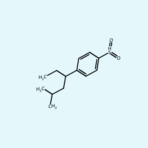 CCC(CC(C)C)c1ccc([SH](=O)=O)cc1